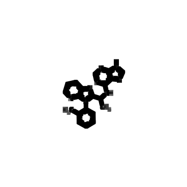 Cc1ccccc1-n1c(C(C)Nc2ncnc3[nH]cnc23)nc2cccnc21